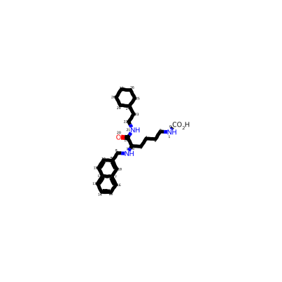 O=C(O)NCCCCC(NCc1ccc2ccccc2c1)C(=O)NCCC1CCCCC1